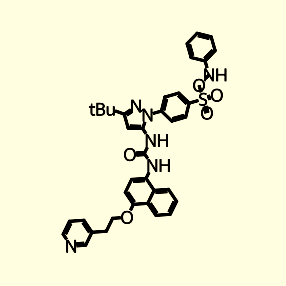 CC(C)(C)c1cc(NC(=O)Nc2ccc(OCCc3cccnc3)c3ccccc23)n(-c2ccc(S(=O)(=O)ONc3ccccc3)cc2)n1